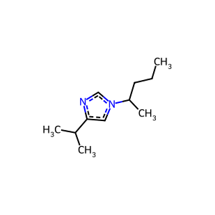 CCCC(C)n1cnc(C(C)C)c1